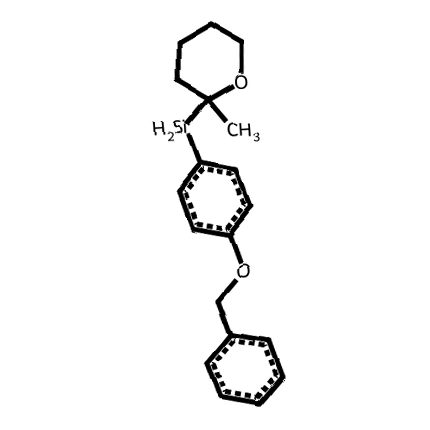 CC1([SiH2]c2ccc(OCc3ccccc3)cc2)CCCCO1